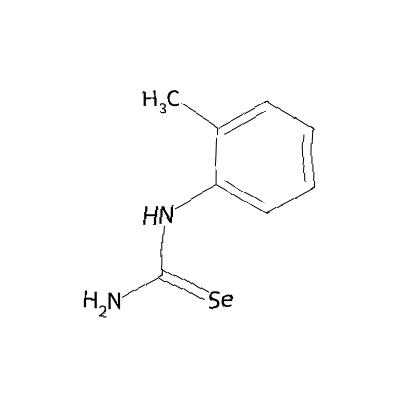 Cc1ccccc1NC(N)=[Se]